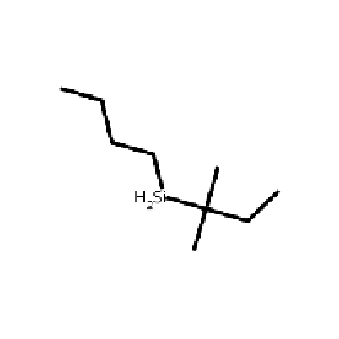 CCCC[SiH2]C(C)(C)CC